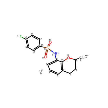 O=C([O-])C1CCc2cccc(NS(=O)(=O)c3ccc(F)cc3)c2O1.[Li+]